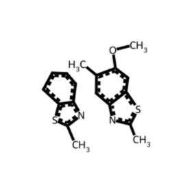 COc1cc2sc(C)nc2cc1C.Cc1nc2ccccc2s1